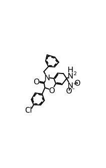 NC1([N+](=O)[O-])C=C2OC(c3ccc(Cl)cc3)C(=O)N(Cc3ccccc3)C2=CC1